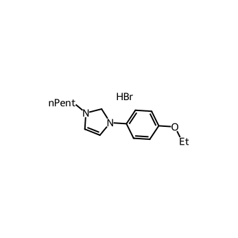 Br.CCCCCN1C=CN(c2ccc(OCC)cc2)C1